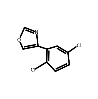 Clc1ccc(Cl)c(-c2co[c]n2)c1